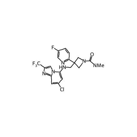 CNC(=O)N1CC(CNc2cc(Cl)cc3nc(C(F)(F)F)cn23)(c2ccc(F)cn2)C1